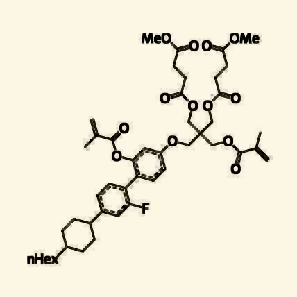 C=C(C)C(=O)OCC(COC(=O)CCC(=O)OC)(COC(=O)CCC(=O)OC)COc1ccc(-c2ccc(C3CCC(CCCCCC)CC3)cc2F)c(OC(=O)C(=C)C)c1